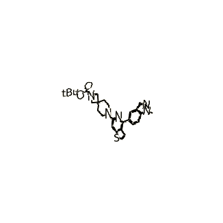 Cn1ncc2cc(-c3nc(N4CCC5(CC4)CN(C(=O)OC(C)(C)C)C5)cc4sccc34)ccc21